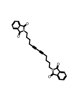 O=C1c2ccccc2C(=O)N1CCCCC#CC#CCCCCN1C(=O)c2ccccc2C1=O